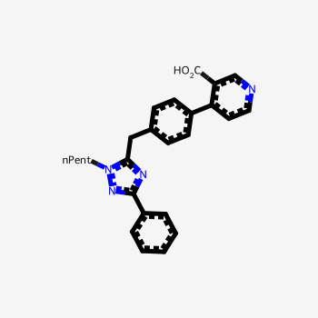 CCCCCn1nc(-c2ccccc2)nc1Cc1ccc(-c2ccncc2C(=O)O)cc1